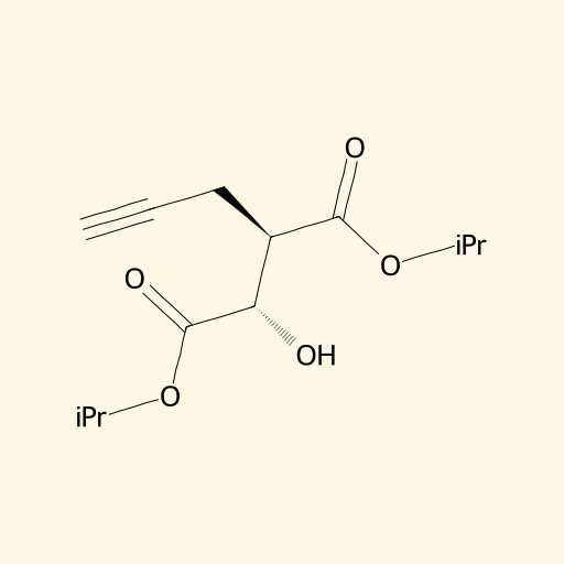 C#CC[C@@H](C(=O)OC(C)C)[C@H](O)C(=O)OC(C)C